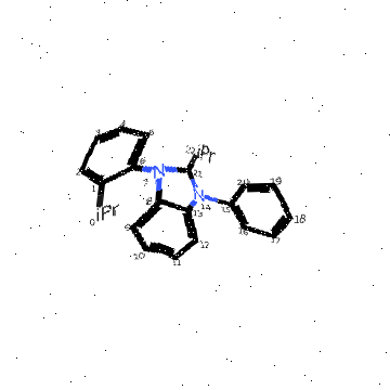 CC(C)c1ccccc1N1c2ccccc2N(c2ccccc2)C1C(C)C